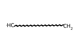 [CH]=C/C=C/C=C/C=C/C=C/C=C/C=C/C=C/C=C/C=C/C=C/C=C/C=C/C=C/C=C